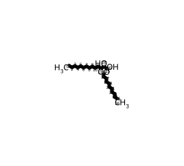 CCCCCCCCCCCC[C](OC(=O)CCCCCCCCCCC)C(O)CO